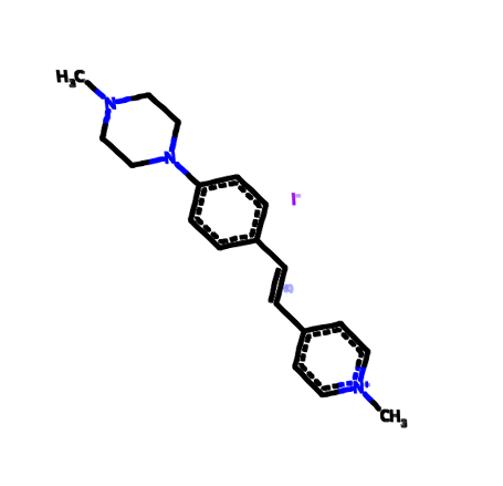 CN1CCN(c2ccc(/C=C/c3cc[n+](C)cc3)cc2)CC1.[I-]